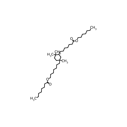 CCCCCCCOC(=O)CCCCCCC1CC(C)(CCCCCCCOC(=O)CCCCCCC)CCC1(C)C